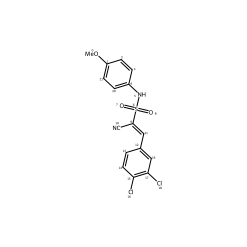 COc1ccc(NS(=O)(=O)C(C#N)=Cc2ccc(Cl)c(Cl)c2)cc1